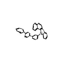 c1ccc(-c2ccc(-c3cccc(-n4c5ccccc5c5ccc6ccccc6c54)c3)cc2)cc1